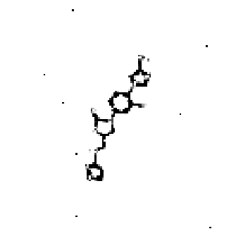 Cc1cn(-c2ccc(N3CC(CNc4ccon4)OC3=O)cc2F)cn1